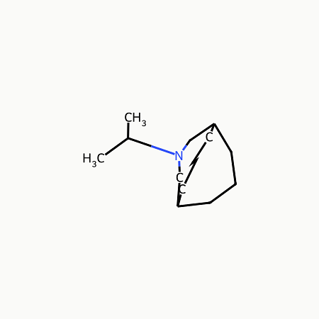 CC(C)N1CC2CCCCC(CCC2)C1